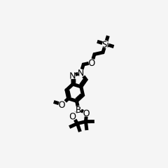 COc1cc2nn(COCC[Si](C)(C)C)cc2cc1B1OC(C)(C)C(C)(C)O1